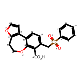 O=C(O)c1c(CS(=O)(=O)c2ccccc2)ccc2c1OCCc1occc1-2